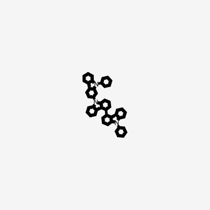 c1ccc(-n2c3ccccc3c3ccc(-n4c5ccccc5c5c(-c6cccc7c6c6ccccc6n7-c6ccccc6)cccc54)cc32)cc1